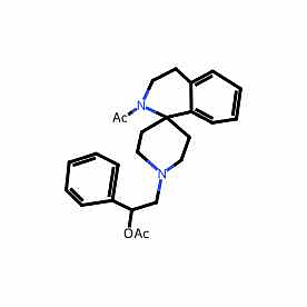 CC(=O)OC(CN1CCC2(CC1)c1ccccc1CCN2C(C)=O)c1ccccc1